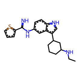 CCNC1CCCC(c2c[nH]c3ccc(NC(=N)c4cccs4)cc23)C1